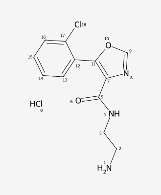 Cl.NCCNC(=O)c1ncoc1-c1ccccc1Cl